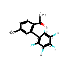 COC(=O)c1ccc(C)cc1-c1c(F)c(F)c(F)c(F)c1F